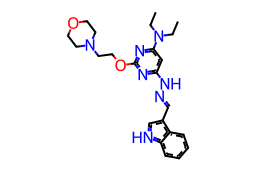 CCN(CC)c1cc(NN=Cc2c[nH]c3ccccc23)nc(OCCN2CCOCC2)n1